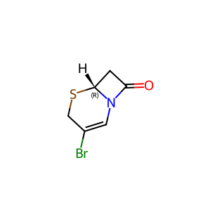 O=C1C[C@H]2SCC(Br)=CN12